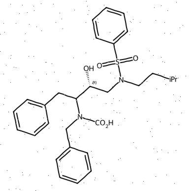 CC(C)CCN(C[C@@H](O)C(Cc1ccccc1)N(Cc1ccccc1)C(=O)O)S(=O)(=O)c1ccccc1